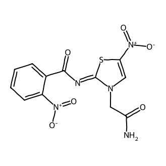 NC(=O)Cn1cc([N+](=O)[O-])sc1=NC(=O)c1ccccc1[N+](=O)[O-]